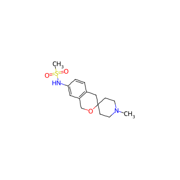 CN1CCC2(CC1)Cc1ccc(NS(C)(=O)=O)cc1CO2